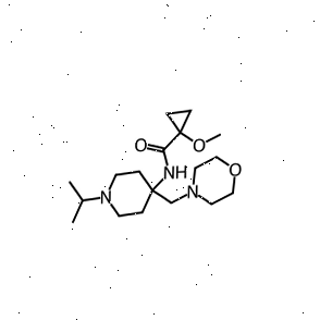 COC1(C(=O)NC2(CN3CCOCC3)CCN(C(C)C)CC2)CC1